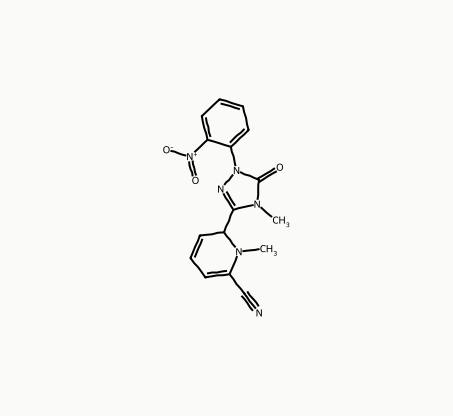 CN1C(C#N)=CC=CC1c1nn(-c2ccccc2[N+](=O)[O-])c(=O)n1C